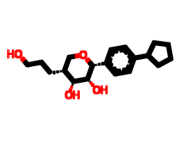 OCCC[C@@H]1CO[C@H](c2ccc(C3CCCC3)cc2)[C@H](O)[C@@H]1O